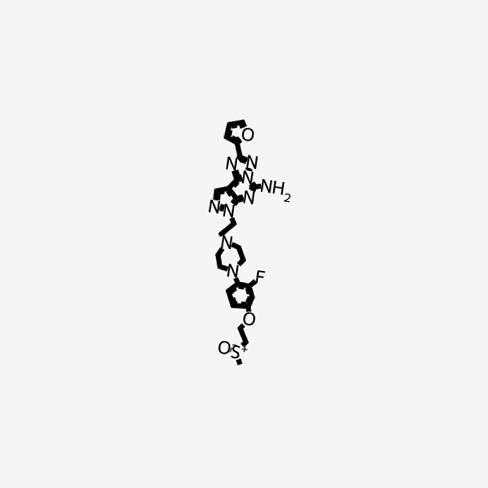 C[S+]([O-])CCOc1ccc(N2CCN(CCn3ncc4c3nc(N)n3nc(-c5ccco5)nc43)CC2)c(F)c1